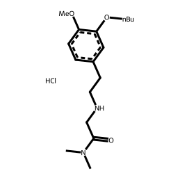 CCCCOc1cc(CCNCC(=O)N(C)C)ccc1OC.Cl